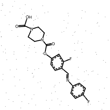 O=C(O)N1CCN(C(=O)Oc2ccc(C=Nc3ccc(F)cc3)c(F)c2)CC1